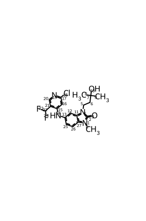 Cn1c(=O)n(CCC(C)(C)O)c2cc(Nc3cc(Cl)ncc3C(F)F)ccc21